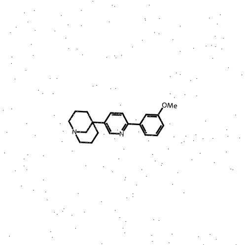 COc1cccc(-c2ccc(C34CCCN(CCC3)C4)cn2)c1